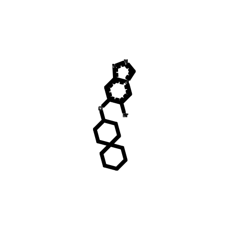 Brc1cn2cnnc2cc1OC1CCC2(CCCCC2)CC1